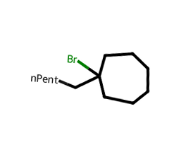 CCCCCCC1(Br)CCCCCC1